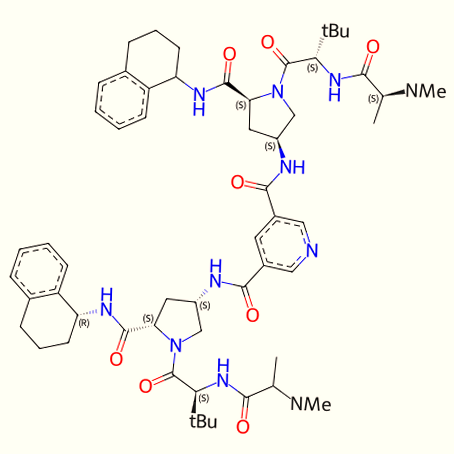 CNC(C)C(=O)N[C@H](C(=O)N1C[C@@H](NC(=O)c2cncc(C(=O)N[C@H]3C[C@@H](C(=O)NC4CCCc5ccccc54)N(C(=O)[C@@H](NC(=O)[C@H](C)NC)C(C)(C)C)C3)c2)C[C@H]1C(=O)N[C@@H]1CCCc2ccccc21)C(C)(C)C